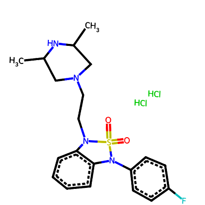 CC1CN(CCN2c3ccccc3N(c3ccc(F)cc3)S2(=O)=O)CC(C)N1.Cl.Cl